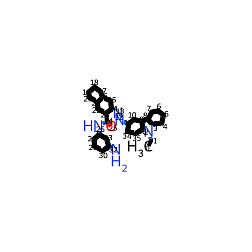 CCn1c2ccccc2c2cc(N=Nc3cc4ccccc4cc3C(=O)Nc3cccc(N)c3)ccc21